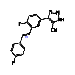 N#Cc1[nH]nnc1-c1ccc(F)c(/C=C/c2ccc(F)cc2)c1